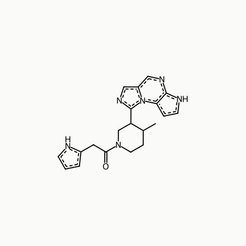 CC1CCN(C(=O)Cc2ccc[nH]2)CC1c1ncc2cnc3[nH]ccc3n12